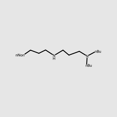 CCCCCCCCCCCCNCCCN(CCCC)CCCC